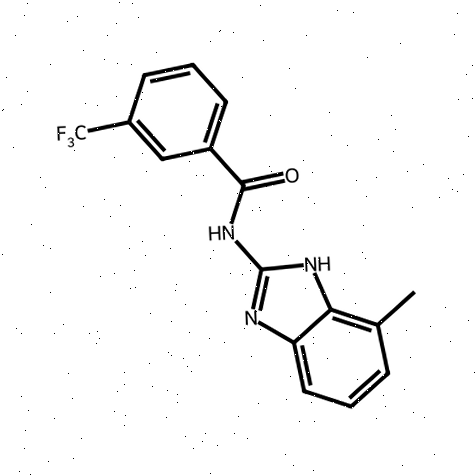 Cc1cccc2nc(NC(=O)c3cccc(C(F)(F)F)c3)[nH]c12